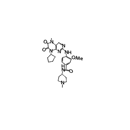 COc1cc(C(=O)NC2CCN(C)CC2)ccc1Nc1ncc2c(n1)n(C1CCCC1)c(=O)c(=O)n2C